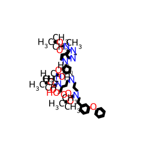 CN(C(=O)OC(C)(C)C)c1ncnc2c1ccn2[C@@H]1C[C@H](CN(CCCN(CCc2cccc(Oc3ccccc3)c2)C(=O)OC(C)(C)C)CCC(NC(=O)OC(C)(C)C)C(=O)O)[C@H]2OC(C)(C)O[C@H]21